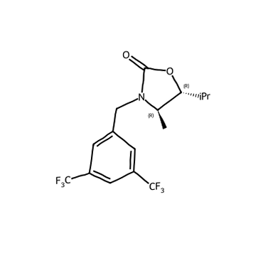 CC(C)[C@H]1OC(=O)N(Cc2cc(C(F)(F)F)cc(C(F)(F)F)c2)[C@@H]1C